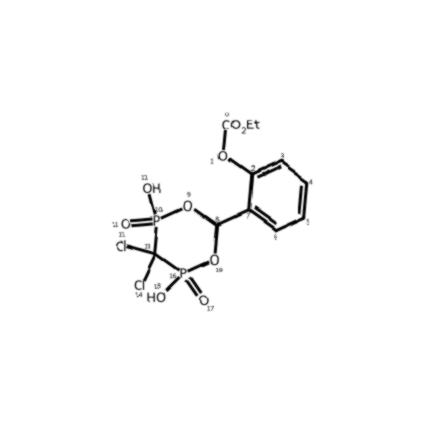 CCOC(=O)Oc1ccccc1C1OP(=O)(O)C(Cl)(Cl)P(=O)(O)O1